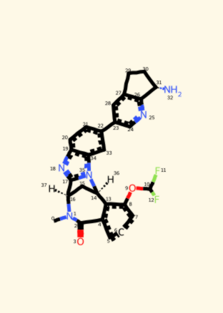 CN1C(=O)c2cccc(OC(F)F)c2[C@H]2C[C@@H]1c1nc3ccc(-c4cnc5c(c4)CC[C@@H]5N)cc3n12